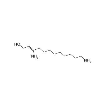 NCCCCCCCCCC(N)=CCO